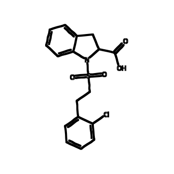 O=C(O)C1Cc2ccccc2N1S(=O)(=O)CCc1ccccc1Cl